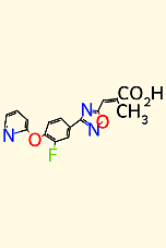 CC(=Cc1nc(-c2ccc(Oc3ccccn3)c(F)c2)no1)C(=O)O